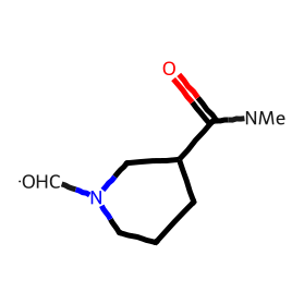 CNC(=O)C1CCCN([C]=O)C1